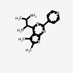 Cc1sc2nc(-c3ccncc3)nc(C(N)C(C)N)c2c1C